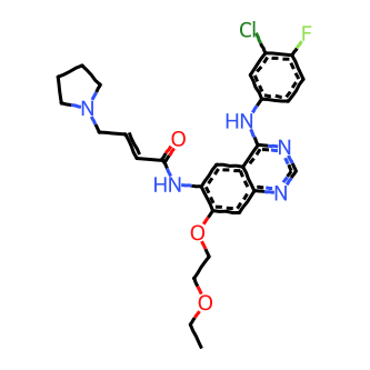 CCOCCOc1cc2ncnc(Nc3ccc(F)c(Cl)c3)c2cc1NC(=O)/C=C/CN1CCCC1